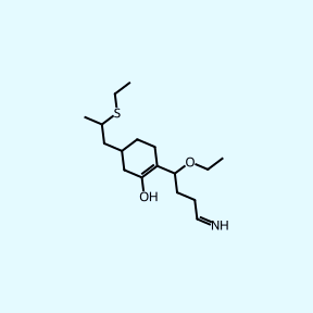 CCOC(CCC=N)C1=C(O)CC(CC(C)SCC)CC1